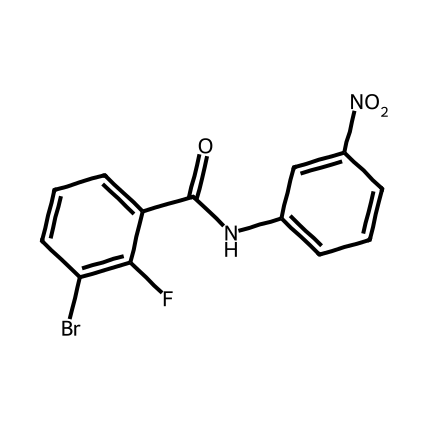 O=C(Nc1cccc([N+](=O)[O-])c1)c1cccc(Br)c1F